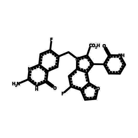 Nc1nc2cc(F)c(Cn3c(C(=O)O)c(-c4ccc[nH]c4=O)c4c5occc5c(F)cc43)cc2c(=O)[nH]1